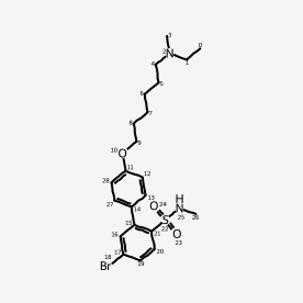 CCN(C)CCCCCCOc1ccc(-c2cc(Br)ccc2S(=O)(=O)NC)cc1